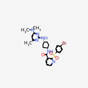 Cc1cc(N(C)C)nc(N[C@H]2CC[C@@H](NC(=O)c3cccnc3S(=O)(=O)c3ccc(Br)cc3)CC2)n1